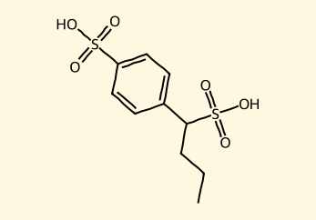 CCCC(c1ccc(S(=O)(=O)O)cc1)S(=O)(=O)O